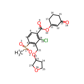 CS(=O)(=O)c1ccc(C(=O)OC2=CC(=O)CCC2)c(Cl)c1COC1CCOC1